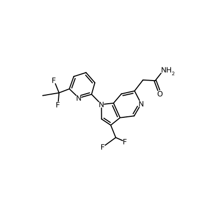 CC(F)(F)c1cccc(-n2cc(C(F)F)c3cnc(CC(N)=O)cc32)n1